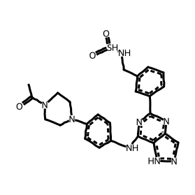 CC(=O)N1CCN(c2ccc(Nc3nc(-c4cccc(CN[SH](=O)=O)c4)nc4cn[nH]c34)cc2)CC1